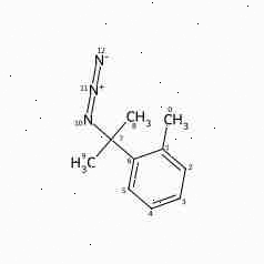 Cc1ccccc1C(C)(C)N=[N+]=[N-]